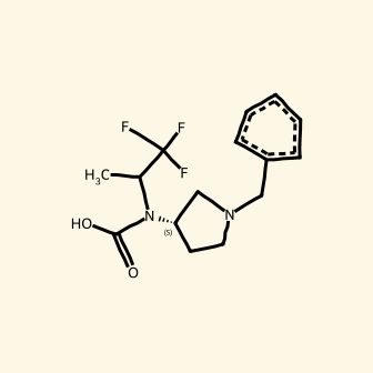 CC(N(C(=O)O)[C@H]1CCN(Cc2ccccc2)C1)C(F)(F)F